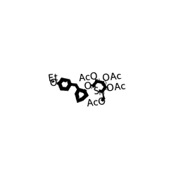 CCOc1ccc(Cc2ccccc2O[C@@H]2S[C@H](COC(C)=O)[C@@H](OC(C)=O)[C@H](OC(C)=O)[C@H]2OC(C)=O)cc1